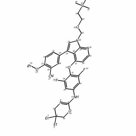 CCC1(CC)CN=C(Nc2cc(F)c(Oc3ccnc4c3c(-c3ccc(OC(C)C)c(C#N)c3)cn4COCC[Si](C)(C)C)c(F)c2)OC1